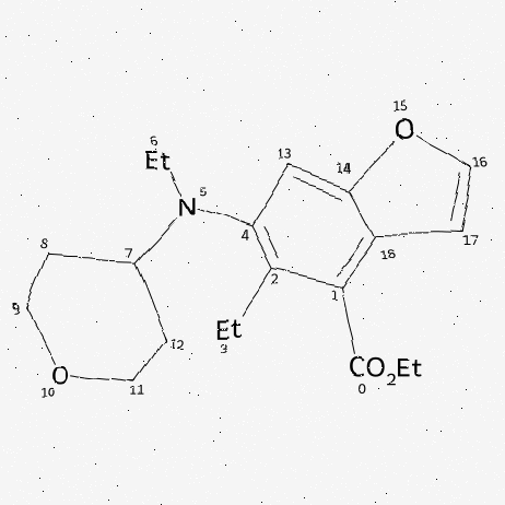 CCOC(=O)c1c(CC)c(N(CC)C2CCOCC2)cc2occc12